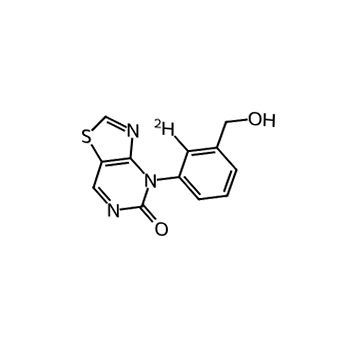 [2H]c1c(CO)cccc1-n1c(=O)ncc2scnc21